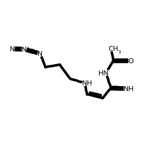 CC(=O)NC(=N)/C=C\NCCCN=[N+]=[N-]